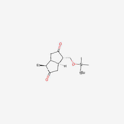 CC[C@@H]1C(=O)C[C@H]2C1CC(=O)[C@@H]2CO[Si](C)(C)C(C)(C)C